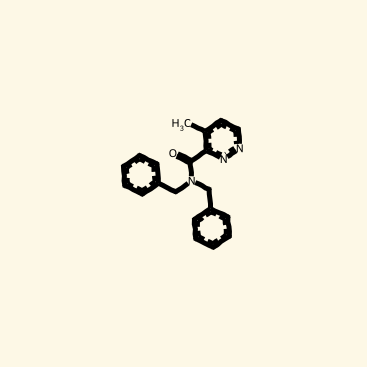 Cc1ccnnc1C(=O)N(Cc1ccccc1)Cc1ccccc1